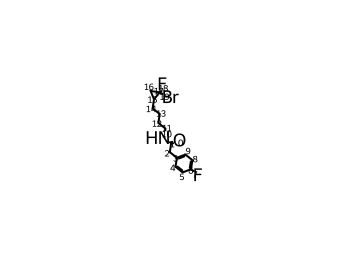 O=C(Cc1ccc(F)cc1)NCCCCC1CC1(F)Br